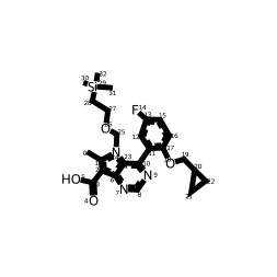 Cc1c(C(=O)O)c2ncnc(-c3cc(F)ccc3OCC3CC3)c2n1COCC[Si](C)(C)C